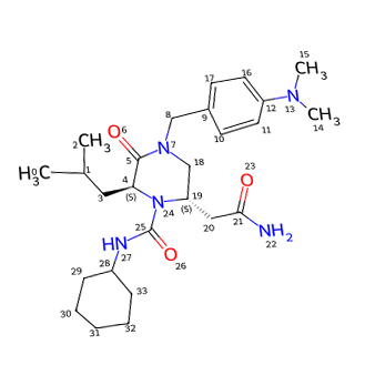 CC(C)C[C@H]1C(=O)N(Cc2ccc(N(C)C)cc2)C[C@H](CC(N)=O)N1C(=O)NC1CCCCC1